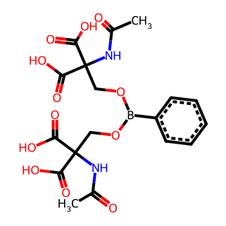 CC(=O)NC(COB(OCC(NC(C)=O)(C(=O)O)C(=O)O)c1ccccc1)(C(=O)O)C(=O)O